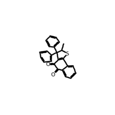 CC1SC2=C(C(=O)C(=O)c3ccccc32)C1(c1ccccc1)c1ccccc1